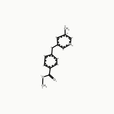 COC(=O)c1ccc(Cc2cncc(C)c2)cc1